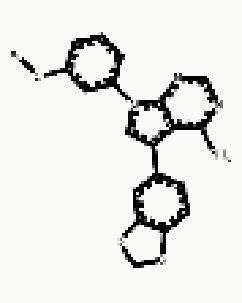 CCOc1cccc(-n2cc(-c3ccc4c(c3)OCO4)c3c(N)ncnc32)c1